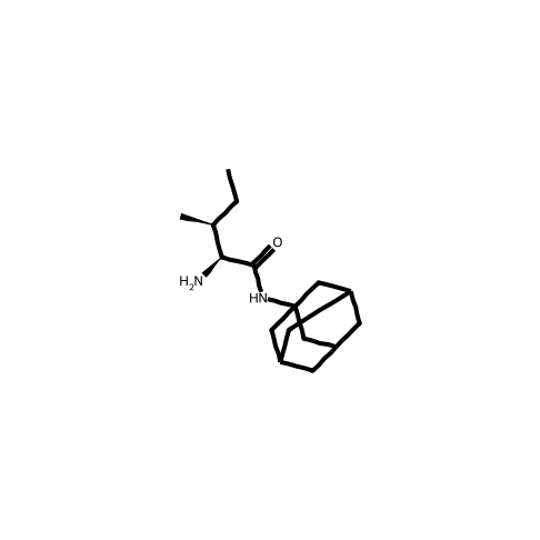 CC[C@H](C)[C@H](N)C(=O)NC12CC3CC(CC(C3)C1)C2